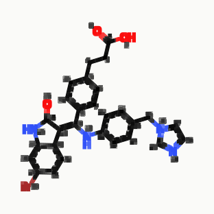 O=C(O)CCc1ccc(C(Nc2ccc(Cn3ccnc3)cc2)=C2C(=O)Nc3cc(Br)ccc32)cc1